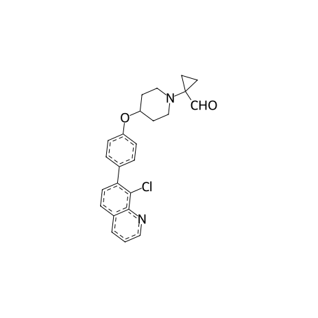 O=CC1(N2CCC(Oc3ccc(-c4ccc5cccnc5c4Cl)cc3)CC2)CC1